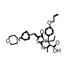 C=CCOc1ccc(C2(CC)C(C(=O)O)=C(C)N=c3s/c(=C\c4ccc(N5CCOCC5)cc4)c(=O)n32)cc1